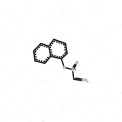 C=C[PH](=O)Oc1cccc2ccccc12